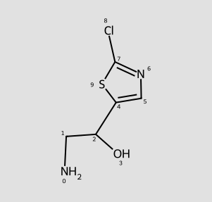 NCC(O)c1cnc(Cl)s1